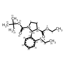 CCOC(=O)[C@@H]1CCN(C(=O)OC(C)(C)C)[C@@H]1c1ccccc1SCC